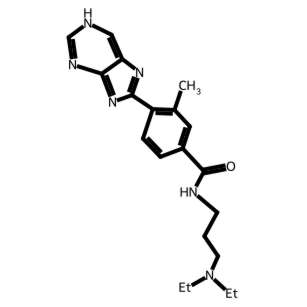 CCN(CC)CCCNC(=O)c1ccc(-c2nc3c[nH]cnc-3n2)c(C)c1